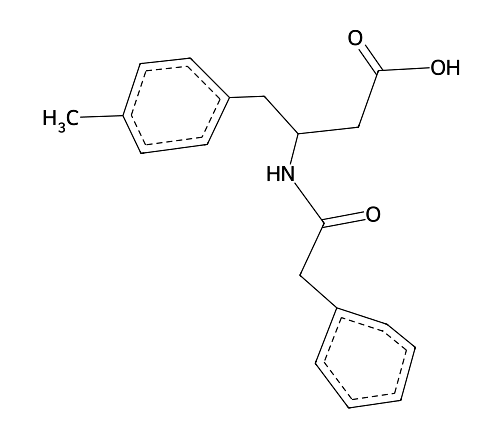 Cc1ccc(CC(CC(=O)O)NC(=O)Cc2ccccc2)cc1